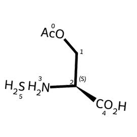 CC(=O)OC[C@H](N)C(=O)O.S